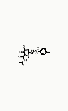 Cc1ccc(S(=O)(=O)NCc2cc(=O)c(O)c(C(=O)NC(C)C)n2C)cc1